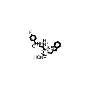 N/C(=C\N(N)[C@@H](CC(=O)NO)Cc1cc2ccccc2s1)CNC(=O)c1ccc(F)cc1